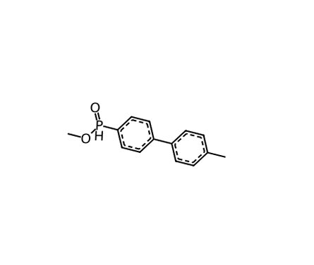 CO[PH](=O)c1ccc(-c2ccc(C)cc2)cc1